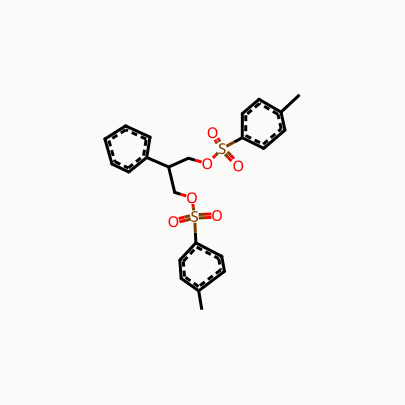 Cc1ccc(S(=O)(=O)OCC(COS(=O)(=O)c2ccc(C)cc2)c2ccccc2)cc1